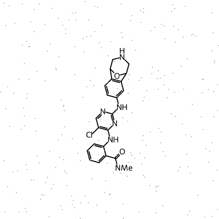 CNC(=O)c1ccccc1Nc1nc(Nc2ccc3c(c2)C2CNCC3O2)ncc1Cl